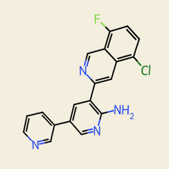 Nc1ncc(-c2cccnc2)cc1-c1cc2c(Cl)ccc(F)c2cn1